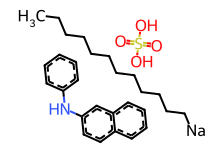 CCCCCCCCCCC[CH2][Na].O=S(=O)(O)O.c1ccc(Nc2ccc3ccccc3c2)cc1